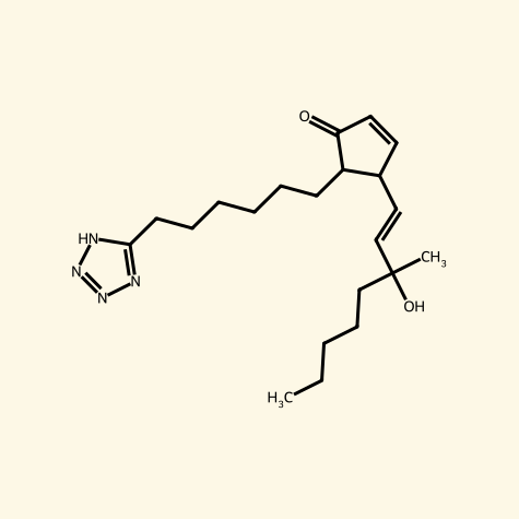 CCCCCC(C)(O)C=CC1C=CC(=O)C1CCCCCCc1nnn[nH]1